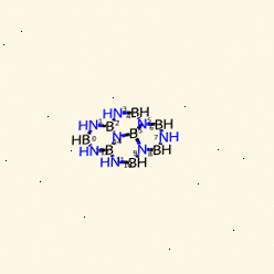 B1NB2NBN3BNBN4BNB(N1)N2B34